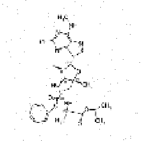 CNc1nc(Cl)nc2c1ncn2[C@@H]1O[C@](C)(CO[P@@](=O)(N[C@@H](C)C(=O)OC(C)C)Oc2ccccc2)[C@@H](O)[C@H]1F